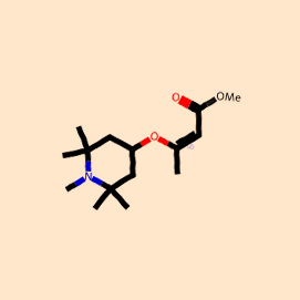 COC(=O)/C=C(/C)OC1CC(C)(C)N(C)C(C)(C)C1